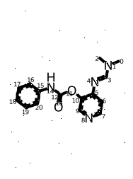 CN(C)C=Nc1ccncc1OC(=O)Nc1ccccc1